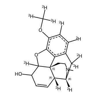 [2H]c1c([2H])c2c3c(c1OC([2H])([2H])[2H])OC1([2H])C(O)C=C[C@]4([2H])[C@@]31CCN(C)[C@]4([2H])C2([2H])[2H]